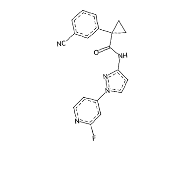 N#Cc1cccc(C2(C(=O)Nc3ccn(-c4ccnc(F)c4)n3)CC2)c1